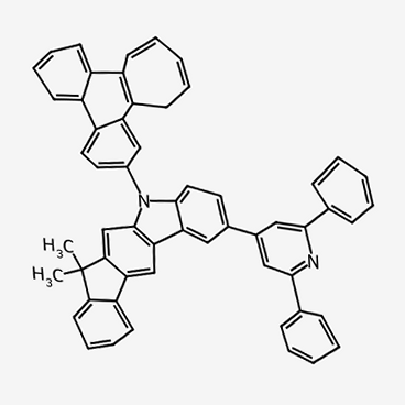 CC1(C)c2ccccc2-c2cc3c4cc(-c5cc(-c6ccccc6)nc(-c6ccccc6)c5)ccc4n(-c4ccc5c(c4)c4c(c6ccccc65)C=CC=CC4)c3cc21